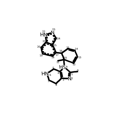 CC1=NC2=C(CNCC2)[SH]1C1(C)C=CC=CC1c1cccc2[nH]ncc12